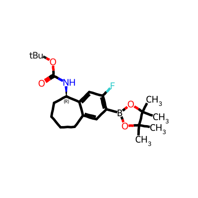 CC(C)(C)OC(=O)N[C@@H]1CCCCc2cc(B3OC(C)(C)C(C)(C)O3)c(F)cc21